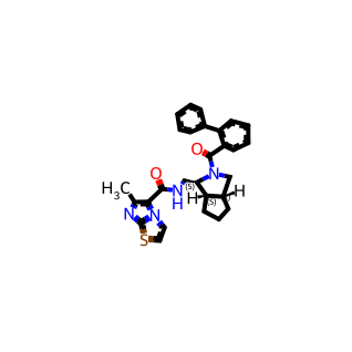 Cc1nc2sccn2c1C(=O)NC[C@@H]1[C@H]2CCC[C@H]2CN1C(=O)c1ccccc1-c1ccccc1